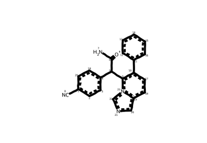 N#Cc1ccc(C(C(N)=O)c2c(-c3ccccc3)ccc3cncn23)cc1